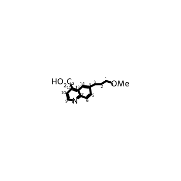 COCCCc1ccc2nccc(C(=O)O)c2c1